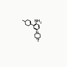 CC1CC=C(c2cc(N3CCN(C)CC3)ccc2N)CC1